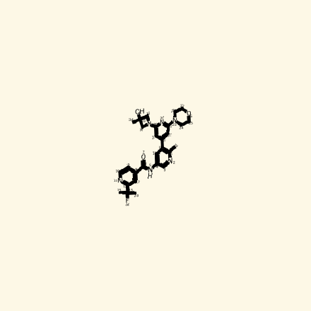 Cc1ncc(NC(=O)c2ccnc(C(C)(C)F)c2)cc1-c1cc(N2CCOCC2)nc(N2CC(C)(O)C2)c1